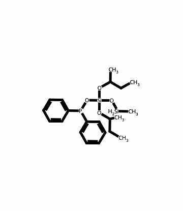 CCC(C)O[Si](O[SiH2]C)(OC(C)CC)OP(c1ccccc1)c1ccccc1